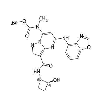 CN(C(=O)OC(C)(C)C)c1cc(Nc2cccc3ocnc23)nc2c(C(=O)N[C@H]3CC[C@@H]3O)cnn12